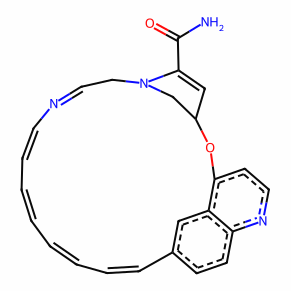 NC(=O)C1=CC2CN1C\C=N/C=C\C=C/C=C\C=C/c1ccc3nccc(c3c1)O2